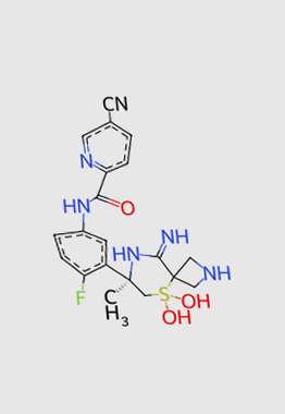 C[C@@]1(c2cc(NC(=O)c3ccc(C#N)cn3)ccc2F)CS(O)(O)C2(CNC2)C(=N)N1